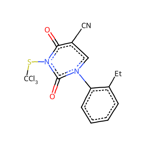 CCc1ccccc1-n1cc(C#N)c(=O)n(SC(Cl)(Cl)Cl)c1=O